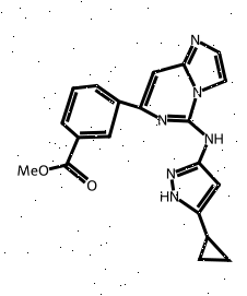 COC(=O)c1cccc(-c2cc3nccn3c(Nc3cc(C4CC4)[nH]n3)n2)c1